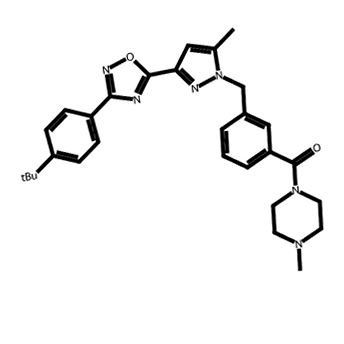 Cc1cc(-c2nc(-c3ccc(C(C)(C)C)cc3)no2)nn1Cc1cccc(C(=O)N2CCN(C)CC2)c1